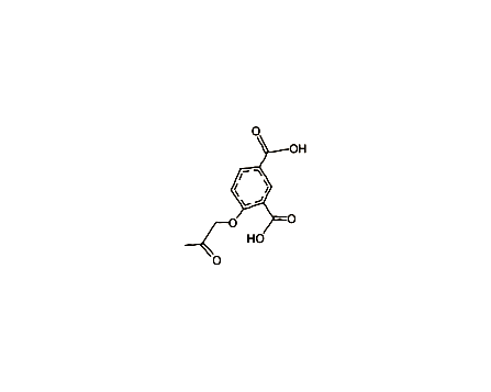 CC(=O)COc1ccc(C(=O)O)cc1C(=O)O